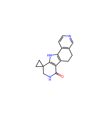 O=C1NCC2(CC2)c2[nH]c3c(c21)CCc1cnccc1-3